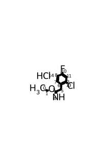 CCOC(=N)Cc1ccc(F)cc1Cl.Cl